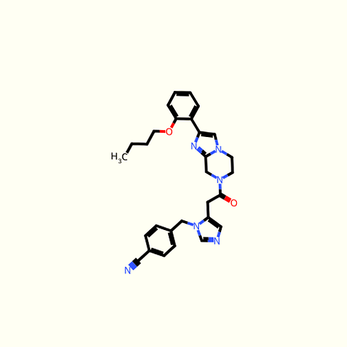 CCCCOc1ccccc1-c1cn2c(n1)CN(C(=O)Cc1cncn1Cc1ccc(C#N)cc1)CC2